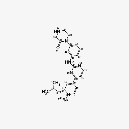 CC(C)c1cnn2ccc(-c3ccnc(Nc4cccc(N5CCNCC5=O)c4)n3)cc12